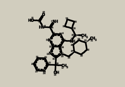 C[C@@H](Nc1nc(C(=N)NC(=O)O)nc2nc(C(C)(O)c3ccccn3)n(C[C@H]3CC[C@H](C)CC3)c12)C1CCC1